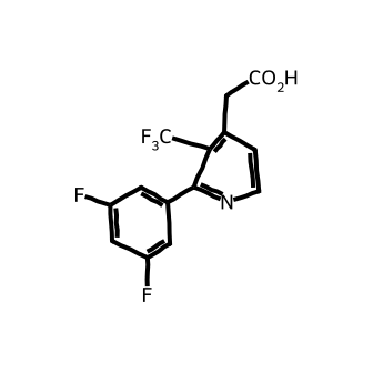 O=C(O)Cc1ccnc(-c2cc(F)cc(F)c2)c1C(F)(F)F